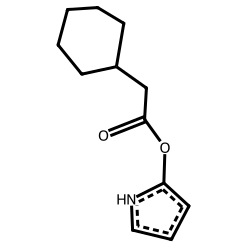 O=C(CC1CCCCC1)Oc1ccc[nH]1